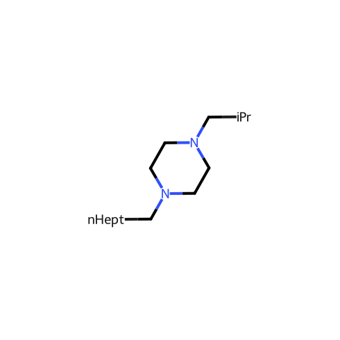 CCCCCCCCN1CCN(CC(C)C)CC1